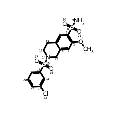 COc1cc2c(cc1S(N)(=O)=O)CCN(S(=O)(=O)c1cccc(Cl)c1)C2